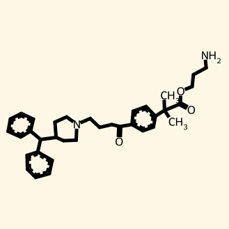 CC(C)(C(=O)OCCCN)c1ccc(C(=O)CCCN2CCC(C(c3ccccc3)c3ccccc3)CC2)cc1